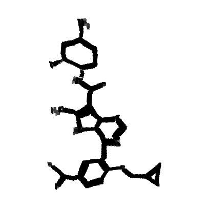 Cc1[nH]c2c(-c3cc(C(F)F)ccc3OCC3CC3)ncnc2c1C(=O)N[C@H]1CC[C@H](N)C[C@H]1F